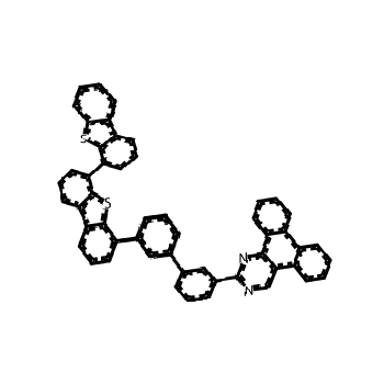 c1cc(-c2cccc(-c3cccc4c3sc3c(-c5cccc6c5sc5ccccc56)cccc34)c2)cc(-c2ncc3c4ccccc4c4ccccc4c3n2)c1